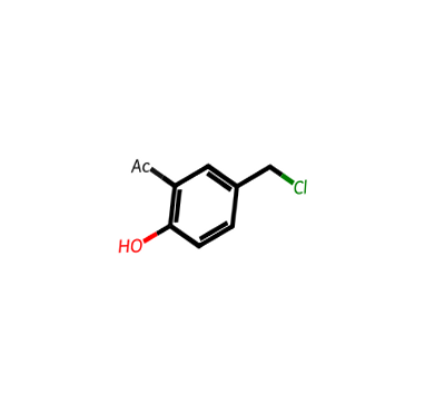 CC(=O)c1cc(CCl)ccc1O